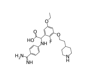 CCOc1cc(OCCC2CCNCC2)c(F)c(C(Nc2ccc(C(=N)N)cc2)C(=O)O)c1